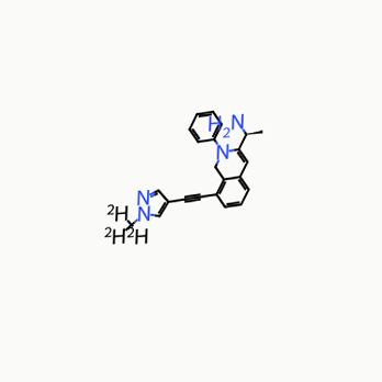 [2H]C([2H])([2H])n1cc(C#Cc2cccc3c2CN(c2ccccc2)C([C@H](C)N)=C3)cn1